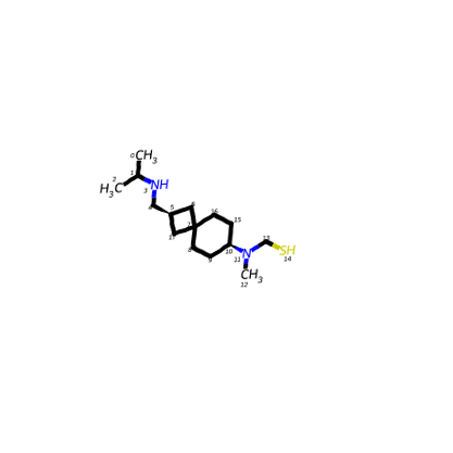 CC(C)NC[C@H]1CC2(CC[C@H](N(C)CS)CC2)C1